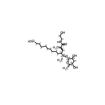 CCCCCCCCCCCCCCCCCCCC(/C=C(\C)C(=O)NCCO)[C@@H](C)O[C@@H]1OC(C)[C@H](O)CC1O